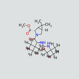 [2H]C([2H])([2H])C(NC(=O)N[C@H](C(=O)N1C[C@H]2C([C@H]1C(=O)OC)C2(C)C)C(C([2H])([2H])[2H])(C([2H])([2H])[2H])C([2H])([2H])[2H])(C([2H])([2H])[2H])C([2H])([2H])[2H]